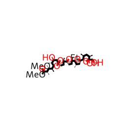 CC[C@@]1([C@@H]2O[C@@H]([C@H]3O[C@@](O)(CO)[C@H](C)C[C@@H]3C)C[C@@H]2C)CC[C@H]([C@]2(C)CC[C@]3(C[C@H](O)[C@@H](C)[C@@H]([C@@H](C)[C@@H](OC)[C@H](C)C(=O)OC)O3)O2)O1